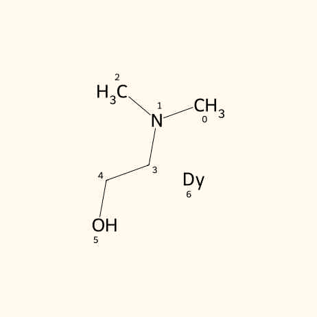 CN(C)CCO.[Dy]